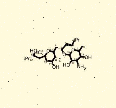 CC(C)/C=C/[C@@H](CC1O[C@](O)(C[C@@H](O)C(C)C)C[C@H](O)[C@H]1C)OC1OC(C)C(O)C(N)C1O